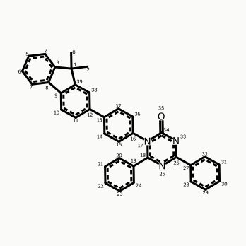 CC1(C)c2ccccc2-c2ccc(-c3ccc(-n4c(-c5ccccc5)nc(-c5ccccc5)nc4=O)cc3)cc21